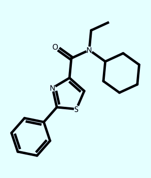 CCN(C(=O)c1csc(-c2ccccc2)n1)C1CCCCC1